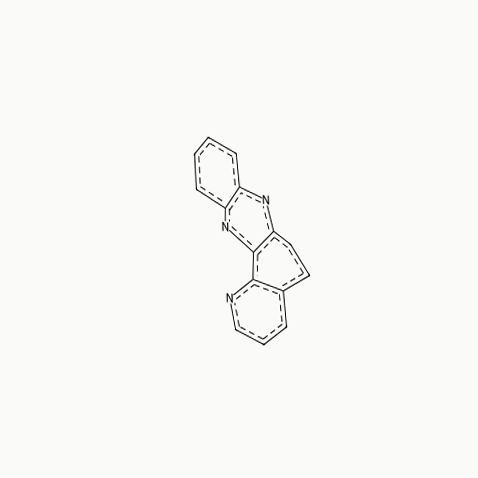 c1cnc2c(c1)ccc1nc3ccccc3nc12